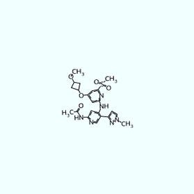 COC1CC(Oc2cc(Nc3cc(NC(C)=O)ncc3-c3ccn(C)n3)nc(S(C)(=O)=O)c2)C1